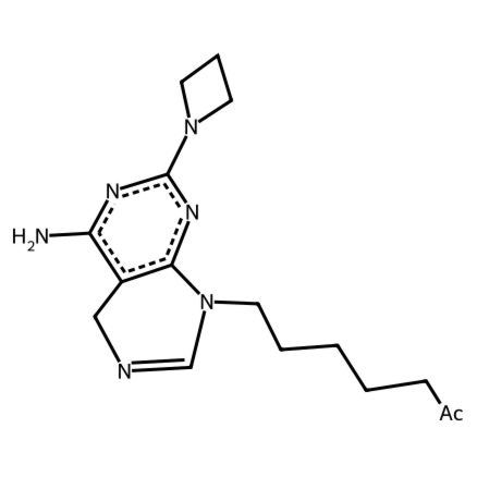 CC(=O)CCCCCN1C=NCc2c(N)nc(N3CCC3)nc21